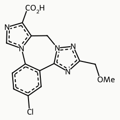 COCc1nc2n(n1)Cc1c(C(=O)O)ncn1-c1ccc(Cl)cc1-2